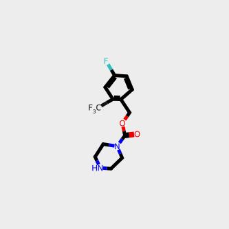 O=C(OCc1ccc(F)cc1C(F)(F)F)N1CCNCC1